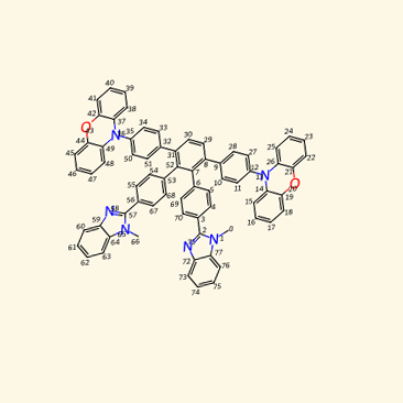 Cn1c(-c2ccc(-c3c(-c4ccc(N5c6ccccc6Oc6ccccc65)cc4)ccc(-c4ccc(N5c6ccccc6Oc6ccccc65)cc4)c3-c3ccc(-c4nc5ccccc5n4C)cc3)cc2)nc2ccccc21